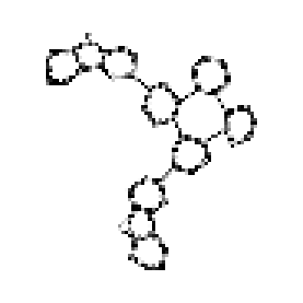 c1ccc2c(c1)-c1ccccc1-c1cc(-c3ccc4sc5ccccc5c4c3)ccc1-c1cc(-c3ccc4oc5ccccc5c4c3)ccc1-2